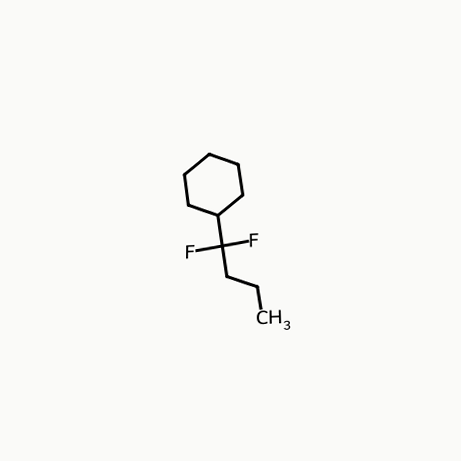 CCCC(F)(F)C1CCCCC1